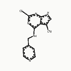 N#Cc1c[nH]c2nc(Cl)nc(NCc3ccncc3)c12